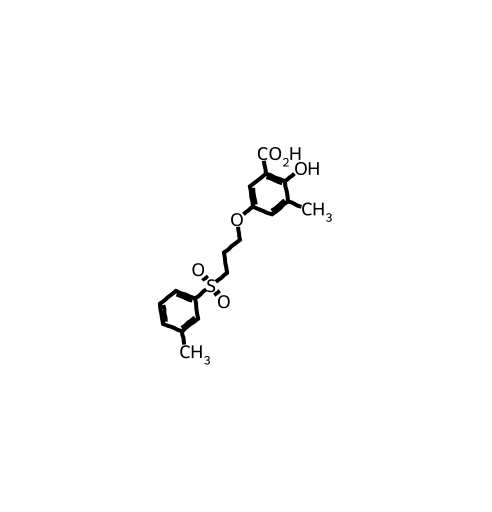 Cc1cccc(S(=O)(=O)CCCOc2cc(C)c(O)c(C(=O)O)c2)c1